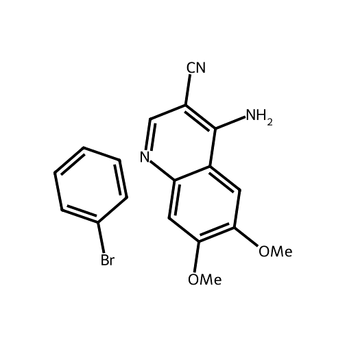 Brc1ccccc1.COc1cc2ncc(C#N)c(N)c2cc1OC